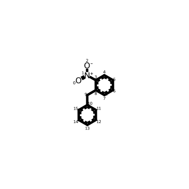 O=[N+]([O-])c1ccc[c]c1Cc1ccccc1